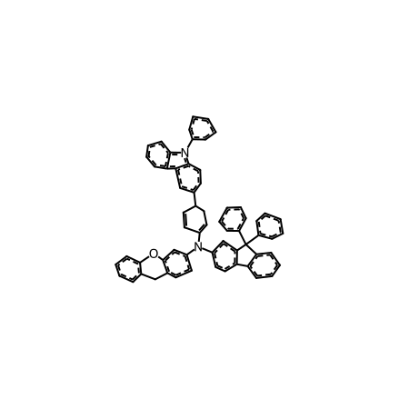 C1=CC(c2ccc3c(c2)c2ccccc2n3-c2ccccc2)CC=C1N(c1ccc2c(c1)Oc1ccccc1C2)c1ccc2c(c1)C(c1ccccc1)(c1ccccc1)c1ccccc1-2